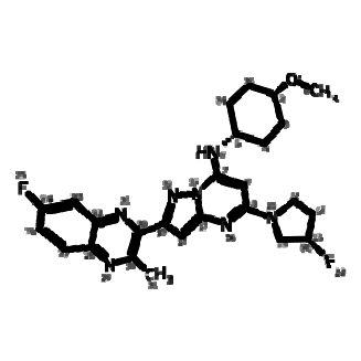 CO[C@H]1CC[C@H](Nc2cc(N3CC[C@@H](F)C3)nc3cc(-c4nc5cc(F)ccc5nc4C)nn23)CC1